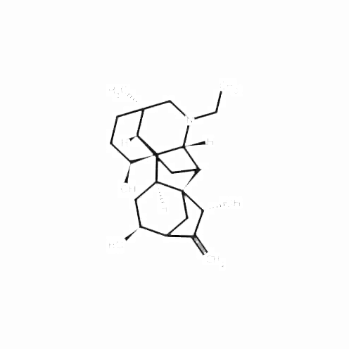 C=C1C2C[C@@]3(C4C[C@@H]5[C@@]6(C)CC[C@H](O)[C@]5([C@@H]3C[C@@H]2O)[C@@H]4N(CC)C6)[C@@H]1O